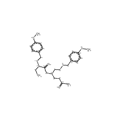 CCN(SCc1ccc(OC)cc1)C(=O)CN(CCSCc1ccc(OC)cc1)CCC(N)=O